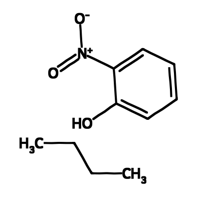 CCCC.O=[N+]([O-])c1ccccc1O